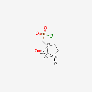 CC1(C)[C@@H]2CC[C@]1(CS(=O)(=O)Cl)C(=O)C2